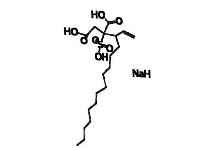 C=CC(CCCCCCCCCCCC)C(CC(=O)O)(C(=O)O)S(=O)(=O)O.[NaH]